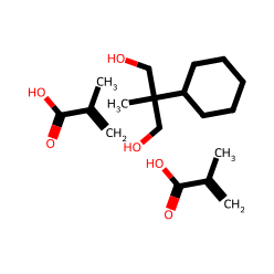 C=C(C)C(=O)O.C=C(C)C(=O)O.CC(CO)(CO)C1CCCCC1